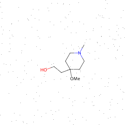 COC1(CCO)CCN(C)CC1